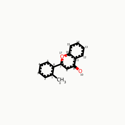 Cc1ccccc1-c1cc(=O)c2ccccc2o1